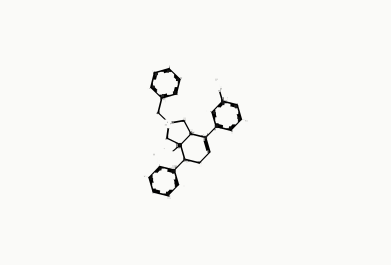 O=C(O)C12CN(Cc3ccccc3)CC1C(c1cccc(Br)c1)=CCC2c1ccccc1